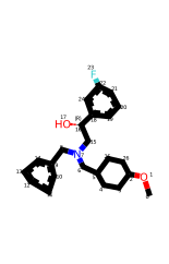 COC1CCC(CN(Cc2ccccc2)C[C@H](O)c2cccc(F)c2)CC1